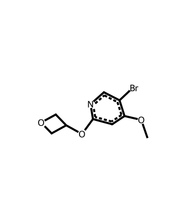 COc1cc(OC2COC2)ncc1Br